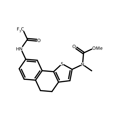 COC(=O)N(C)c1cc2c(s1)-c1cc(NC(=O)C(F)(F)F)ccc1CC2